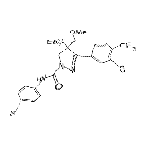 CCOC(=O)C1(COC)CN(C(=O)Nc2ccc(Br)cc2)N=C1c1ccc(C(F)(F)F)c(Cl)c1